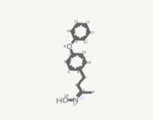 C/C(CCc1ccc(Oc2ccccc2)cc1)=N/O